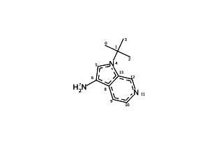 CC(C)(C)n1cc(N)c2ccncc21